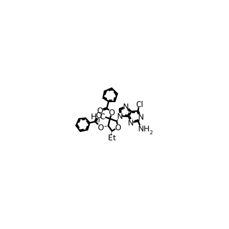 CC[C@H]1O[C@@H](n2cnc3c(Cl)nc(N)nc32)C(C)(OC(=O)c2ccccc2)[C@H]1OC(=O)c1ccccc1